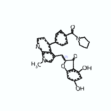 Cn1cc(/C=C2\Oc3cc(O)cc(O)c3C2=O)c2c(-c3ccc(C(=O)N4CCCC4)cc3)ccnc21